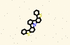 c1ccc2c(c1)sc1ccc3c(c4cccc5c6c7c(ccc6n3c45)sc3ccccc37)c12